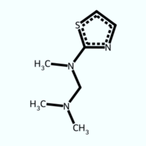 CN(C)CN(C)c1nccs1